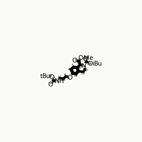 COC(=O)C1c2ccc(OCCCNC(=O)OC(C)(C)C)cc2CCN1C(=O)OCC(C)C